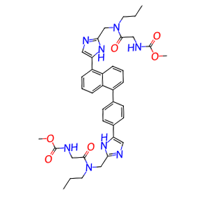 CCCN(Cc1ncc(-c2ccc(-c3cccc4c(-c5cnc(CN(CCC)C(=O)CNC(=O)OC)[nH]5)cccc34)cc2)[nH]1)C(=O)CNC(=O)OC